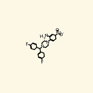 NC1=CC([N+](=O)[O-])CC=C1N1CCN(C(C2=CC=C(F)CC2)C2C=CC(F)=CC2)CC1